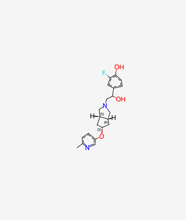 Cc1ccc(O[C@H]2C[C@@H]3CN(CC(O)c4ccc(O)c(F)c4)C[C@@H]3C2)cn1